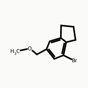 COCc1cc(Br)c2c(c1)CCC2